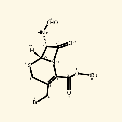 CC(C)(C)OC(=O)C1=C(CBr)CS[C@@H]2[C@H](NC=O)C(=O)N12